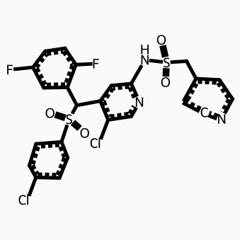 O=S(=O)(Cc1ccncc1)Nc1cc(C(c2cc(F)ccc2F)S(=O)(=O)c2ccc(Cl)cc2)c(Cl)cn1